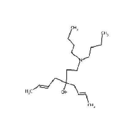 CC=CCC(O)(CC=CC)CCN(CCCC)CCCC